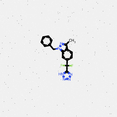 Cc1nn(Cc2ccccc2)c2cc(C(F)(F)c3nnn[nH]3)ccc12